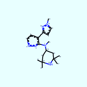 CN(c1nnccc1-c1[c]cn(C)n1)C1CC(C)(C)NC(C)(C)C1